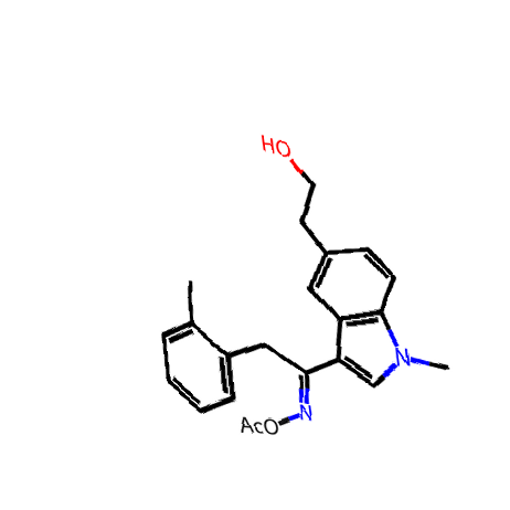 CC(=O)O/N=C(\Cc1ccccc1C)c1cn(C)c2ccc(CCO)cc12